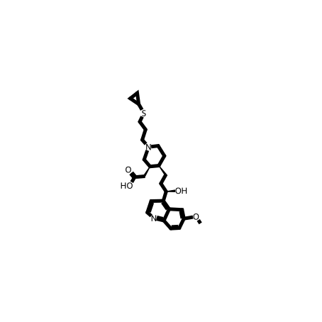 COc1ccc2nccc([C@H](O)CC[C@@H]3CCN(CCCSC4CC4)C[C@@H]3CC(=O)O)c2c1